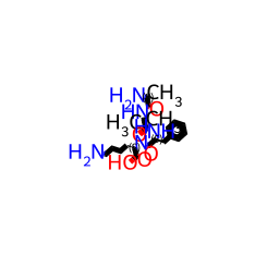 C[C@H](N)C(=O)NC(C)(C)C(=O)N[C@@H](Cc1ccccc1)C(=O)N[C@@H](CCCCN)C(=O)O